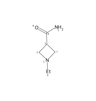 [CH2]CN1CC(C(N)=O)C1